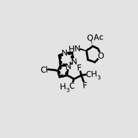 CC(=O)O[C@@H]1COCC[C@H]1Nc1ncc2c(Cl)cc(C(C)C(C)(F)F)n2n1